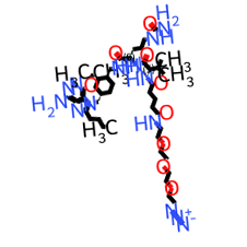 CCCCc1nc2c(N)nnc(OC(C)C)c2n1C[C@H]1CC[C@H](CNC(=O)[C@H](CCCNC(N)=O)NC(=O)[C@@H](NC(=O)CCCC(=O)NCCOCCOCCOCCN=[N+]=[N-])C(C)C)CC1